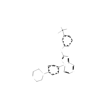 FC(F)(F)c1cccc(NC2=N[N+]3(c4ccc(N5CCOCC5)cc4)C=CN=CC3=N2)c1